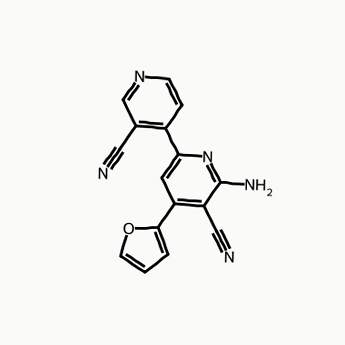 N#Cc1cnccc1-c1cc(-c2ccco2)c(C#N)c(N)n1